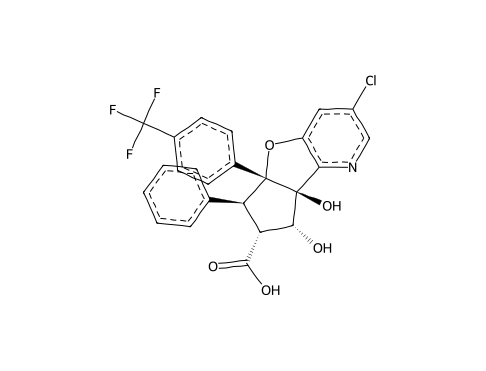 O=C(O)[C@H]1[C@@H](O)[C@@]2(O)c3ncc(Cl)cc3O[C@@]2(c2ccc(C(F)(F)F)cc2)[C@@H]1c1ccccc1